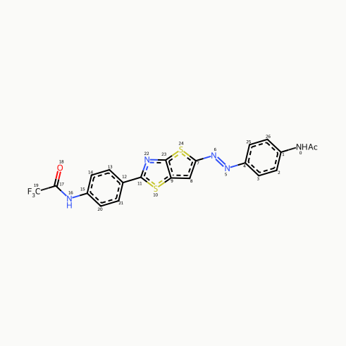 CC(=O)Nc1ccc(N=Nc2cc3sc(-c4ccc(NC(=O)C(F)(F)F)cc4)nc3s2)cc1